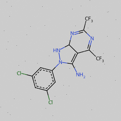 NC1=C2C(C(F)(F)F)=NC(C(F)(F)F)=NC2NN1c1cc(Cl)cc(Cl)c1